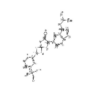 O=C1CC2(CN(c3ccnc(C(F)(F)F)c3)C2)CN1c1ncc2cnn(CC(F)F)c2n1